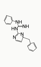 N=C(Nc1ccccc1)Nc1nccc(Cc2ccccc2)n1